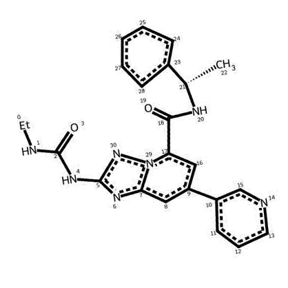 CCNC(=O)Nc1nc2cc(-c3cccnc3)cc(C(=O)N[C@@H](C)c3ccccc3)n2n1